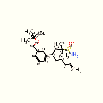 C=CCCC[C@H](CC(C)(C)[S+](N)[O-])c1cccc(CO[Si](C)(C)C(C)(C)C)c1